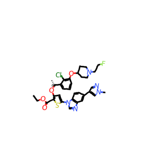 CCOC(=O)c1sc(-n2cnc3cc(-c4cnn(C)c4)ccc32)cc1O[C@H](C)c1cccc(OC2CCN(CCF)CC2)c1Cl